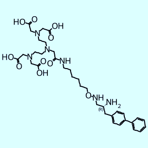 N[C@@H](CNOCCCCCCNC(=O)CN(CCN(CC(=O)O)CC(=O)O)CCN(CC(=O)O)CC(=O)O)Cc1ccc(-c2ccccc2)cc1